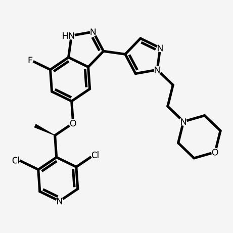 C[C@@H](Oc1cc(F)c2[nH]nc(-c3cnn(CCN4CCOCC4)c3)c2c1)c1c(Cl)cncc1Cl